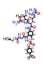 C#CCOC(=O)NCC(=O)Nc1cc(NC(=O)[C@H](CCCNC(N)=O)NC(=O)[C@@H](OC(N)=O)C(C)C)ccc1COC(=O)Oc1ccc([N+](=O)[O-])cc1